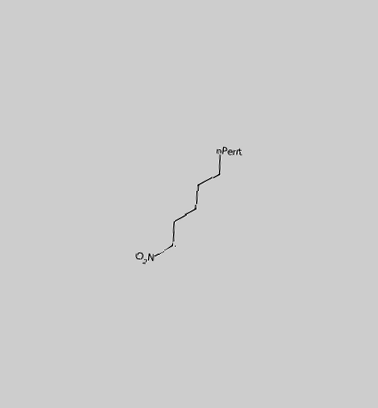 CCCCCCCCC[CH][N+](=O)[O-]